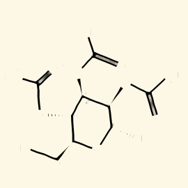 CC(=O)O[C@H]1[C@@H](OC(C)=O)[C@H](Cl)O[C@@H](CO)[C@@H]1OC(C)=O